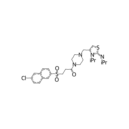 CC(C)N=c1scc(CN2CCN(C(=O)CCS(=O)(=O)c3ccc4cc(Cl)ccc4c3)CC2)n1C(C)C